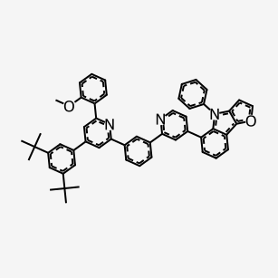 COc1ccccc1-c1cc(-c2cc(C(C)(C)C)cc(C(C)(C)C)c2)cc(-c2cccc(-c3cc(-c4cccc5c6occc6n(-c6ccccc6)c45)ccn3)c2)n1